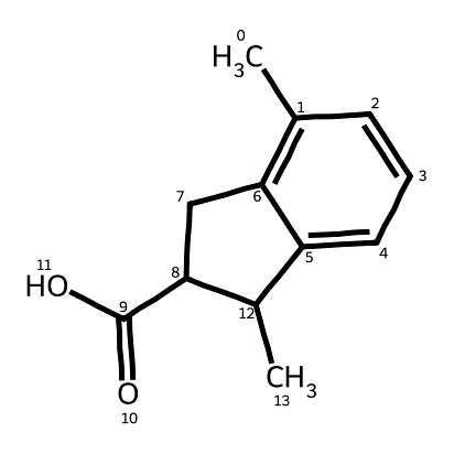 Cc1cccc2c1CC(C(=O)O)C2C